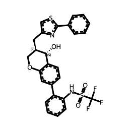 O=S(=O)(Nc1ccccc1-c1ccc2c(c1)OC[C@@H](Cc1csc(-c3ccccc3)n1)[C@@H]2O)C(F)(F)F